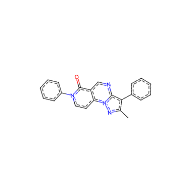 Cc1nn2c(ncc3c(=O)n(-c4ccccc4)ccc32)c1-c1ccccc1